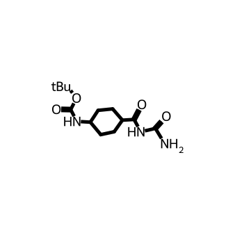 CC(C)(C)OC(=O)NC1CCC(C(=O)NC(N)=O)CC1